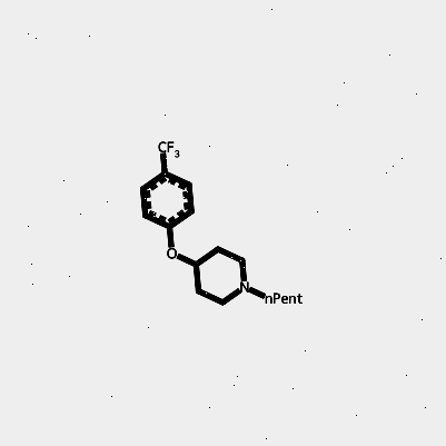 [CH2]CCCCN1CCC(Oc2ccc(C(F)(F)F)cc2)CC1